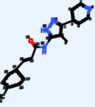 Cc1c(-c2ccncc2)n[nH]c1NC(=O)C=Cc1ccc(C#N)cc1